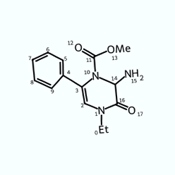 CCN1C=C(c2ccccc2)N(C(=O)OC)C(N)C1=O